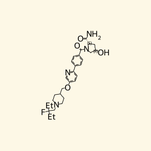 CCC(F)(CC)CN1CCC(COc2ccc(-c3ccc(C(=O)N4C[C@H](O)C[C@H]4C(N)=O)cc3)nc2)CC1